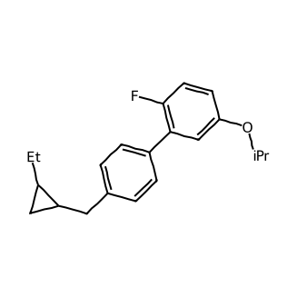 CCC1CC1Cc1ccc(-c2cc(OC(C)C)ccc2F)cc1